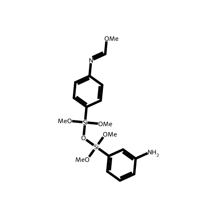 COC=Nc1ccc([Si](OC)(OC)O[Si](OC)(OC)c2cccc(N)c2)cc1